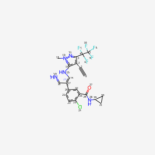 C#Cc1c(C(F)(F)C(F)(F)F)nn(C)c1N/C=C(\C=N)c1ccc(Cl)c(C(=O)NC2CC2)c1